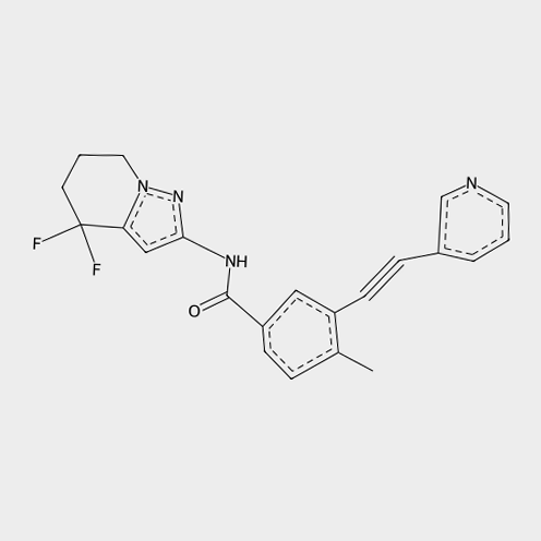 Cc1ccc(C(=O)Nc2cc3n(n2)CCCC3(F)F)cc1C#Cc1cccnc1